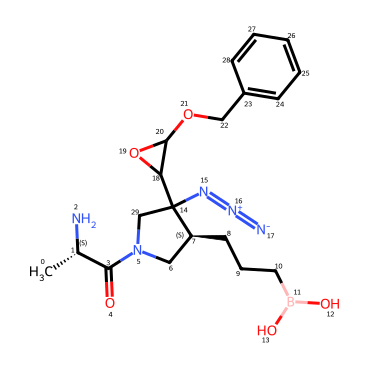 C[C@H](N)C(=O)N1C[C@H](CCCB(O)O)C(N=[N+]=[N-])(C2OC2OCc2ccccc2)C1